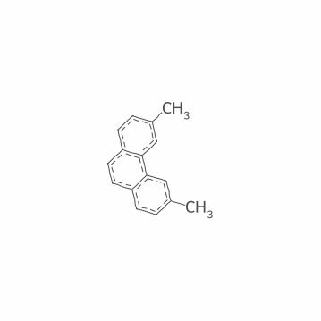 Cc1ccc2ccc3ccc(C)cc3c2c1